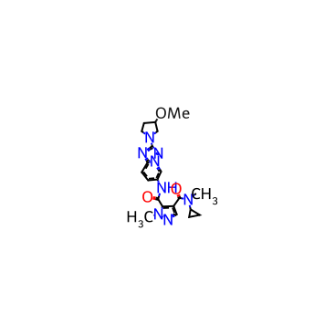 COC1CCN(c2nc3ccc(NC(=O)c4c(C(=O)N(C)C5CC5)cnn4C)cn3n2)C1